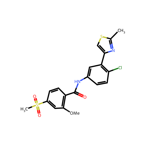 COc1cc(S(C)(=O)=O)ccc1C(=O)Nc1ccc(Cl)c(-c2csc(C)n2)c1